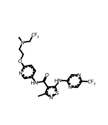 Cc1nsc(Nc2cnc(C(F)(F)F)cn2)c1C(=O)Nc1ccc(OCCN(C)CC(F)(F)F)nc1